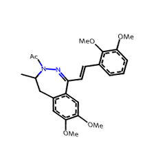 COc1cc2c(cc1OC)C(/C=C/c1cccc(OC)c1OC)=NN(C(C)=O)C(C)C2